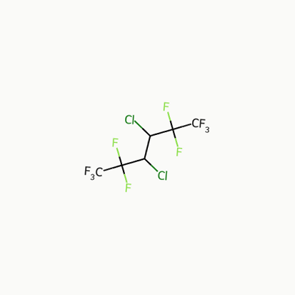 FC(F)(F)C(F)(F)C(Cl)C(Cl)C(F)(F)C(F)(F)F